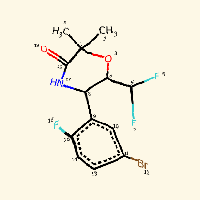 CC1(C)OC(C(F)F)C(c2cc(Br)ccc2F)NC1=O